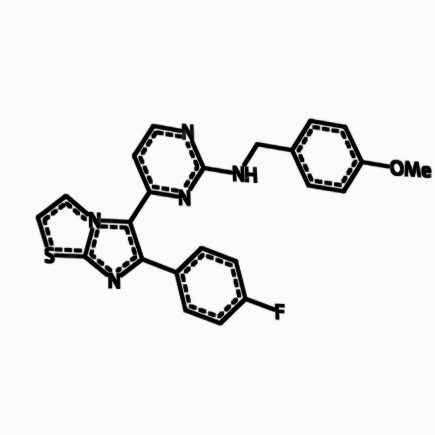 COc1ccc(CNc2nccc(-c3c(-c4ccc(F)cc4)nc4sccn34)n2)cc1